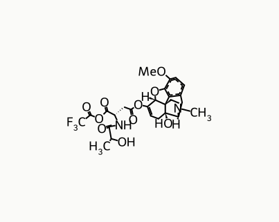 COc1ccc2c3c1O[C@H]1C(OC(=O)C[C@H](NC(=O)[C@H](C)O)C(=O)OC(=O)C(F)(F)F)=CC[C@@]4(O)[C@@H](C2)N(C)CC[C@]314